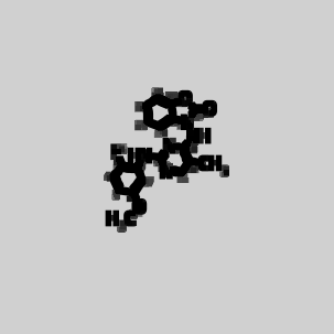 COc1ccc(F)c(Nc2ncc(C)c(Nn3c(=O)oc4ccccc43)n2)c1